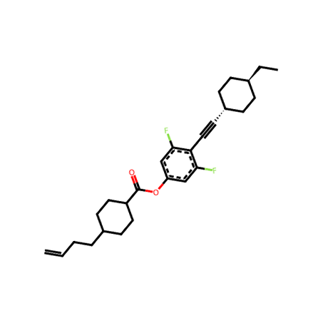 C=CCCC1CCC(C(=O)Oc2cc(F)c(C#C[C@H]3CC[C@H](CC)CC3)c(F)c2)CC1